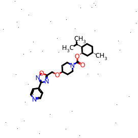 CC(C)[C@H]1CC[C@H](C)C[C@@H]1OC(=O)N1CCC(OCc2nc(-c3ccncc3)no2)CC1